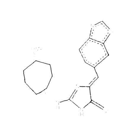 CO[C@H]1CCC[C@@H](NC2=N/C(=C\c3ccc4ncsc4c3)C(=O)N2)CC1